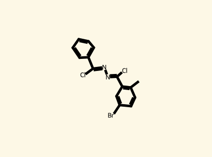 Cc1ccc(Br)cc1/C(Cl)=N/N=C(\Cl)c1ccccc1